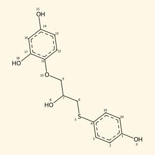 Oc1ccc(SCC(O)COc2ccc(O)cc2O)cc1